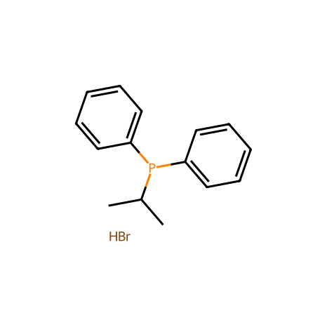 Br.CC(C)P(c1ccccc1)c1ccccc1